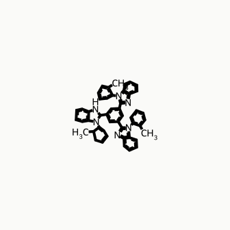 Cc1ccccc1-n1c(-c2cc(-c3nc4ccccc4n3-c3ccccc3C)cc(C3Nc4ccccc4N3C3=CC=CCC3C)c2)nc2ccccc21